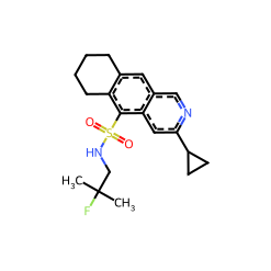 CC(C)(F)CNS(=O)(=O)c1c2c(cc3cnc(C4CC4)cc13)CCCC2